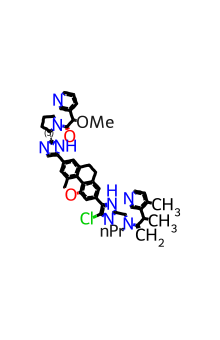 C=C(C(C)c1cnccc1C)N(CCC)Cc1nc(Cl)c(-c2cc3c4c(c2)OCc2cc(-c5cnc([C@@H]6CCCN6C(=O)C(OC)c6cccnc6)[nH]5)cc(c2-4)CC3)[nH]1